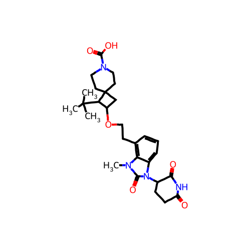 Cn1c(=O)n(C2CCC(=O)NC2=O)c2cccc(CCOC3CC4(CCN(C(=O)O)CC4)C3C(C)(C)C)c21